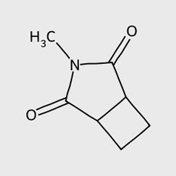 CN1C(=O)C2CCC2C1=O